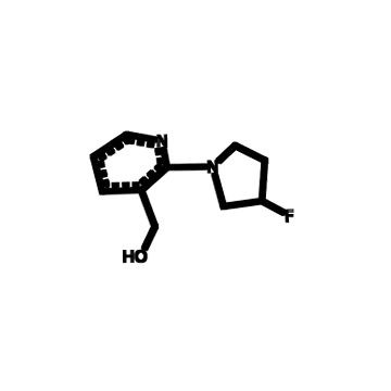 OCc1cccnc1N1CCC(F)C1